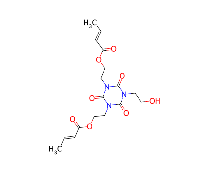 CC=CC(=O)OCCn1c(=O)n(CCO)c(=O)n(CCOC(=O)C=CC)c1=O